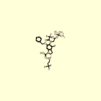 CC(C)(C)OC(=O)CN(C(=O)C(F)(F)F)c1c(OCc2ccccc2)cc2c(c1F)C[C@H](CNCCC(F)(F)F)N2C(=O)O